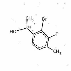 Cc1ccc([C@@H](C)O)c(Br)c1F